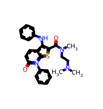 CN(C)CCN(C)C(=O)c1sc2c(ccc(=O)n2-c2ccccc2)c1Nc1ccccc1